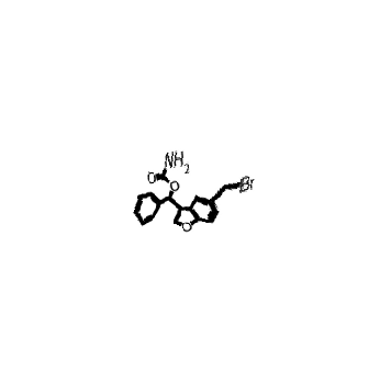 NC(=O)OC(c1ccccc1)C1COc2ccc(CBr)cc21